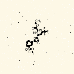 CCOC(=O)CN/C(=C\C(=N)C(F)(F)F)c1nc(-c2cccc(S(C)(=O)=O)c2)ns1